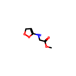 COC(=O)CNC1=CCOO1